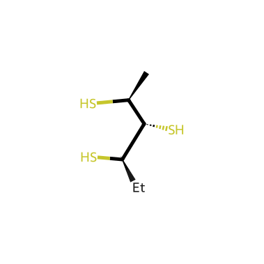 CC[C@@H](S)[C@@H](S)[C@H](C)S